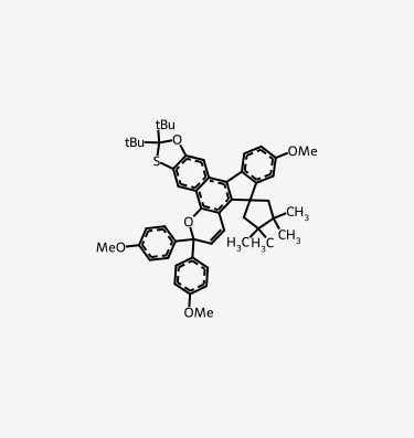 COc1ccc(C2(c3ccc(OC)cc3)C=Cc3c4c(c5cc6c(cc5c3O2)SC(C(C)(C)C)(C(C)(C)C)O6)-c2ccc(OC)cc2C42CC(C)(C)C(C)(C)C2)cc1